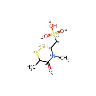 CC(SS)C(=O)N(C)CCS(=O)(=O)O